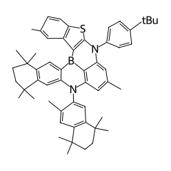 Cc1cc2c3c(c1)N(c1ccc(C(C)(C)C)cc1)c1sc4ccc(C)cc4c1B3c1cc3c(cc1N2c1cc2c(cc1C)C(C)(C)CCC2(C)C)C(C)(C)CCC3(C)C